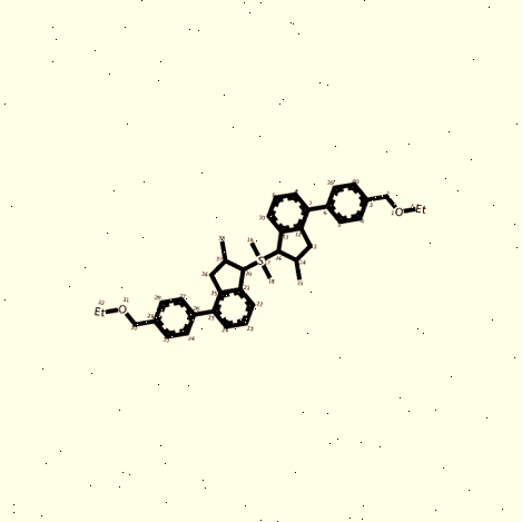 CCOCc1ccc(-c2cccc3c2CC(C)C3S(C)(C)C2c3cccc(-c4ccc(COCC)cc4)c3CC2C)cc1